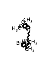 COc1cc2c(cc1OC)CN(CCCCCN[SH](C)(=O)c1cc(Br)ccc1OC)CC2